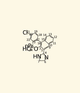 CCCOc1c(C2=NCCN2)cc2ccccc2c1-c1ccc(Cl)cc1.Cl